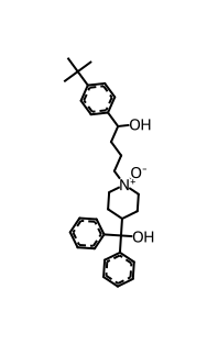 CC(C)(C)c1ccc(C(O)CCC[N+]2([O-])CCC(C(O)(c3ccccc3)c3ccccc3)CC2)cc1